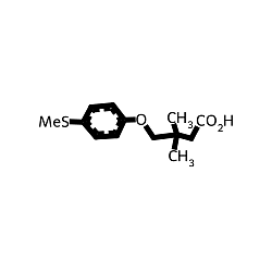 CSc1ccc(OCC(C)(C)CC(=O)O)cc1